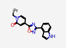 CC(C)Cn1ccc(-c2nc(-c3cccc4[nH]ccc34)no2)cc1=O